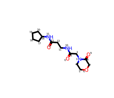 O=C(CN1CCOCC1=O)NCCC(=O)NC1CCCC1